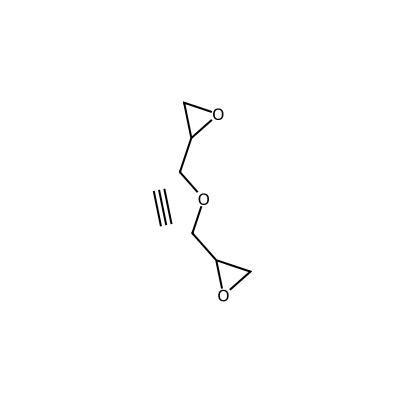 C#C.C(OCC1CO1)C1CO1